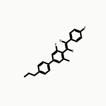 CCCc1ccc(-c2cc(C)c(/C(F)=C(\F)c3ccc(F)cc3)c(F)c2)cc1